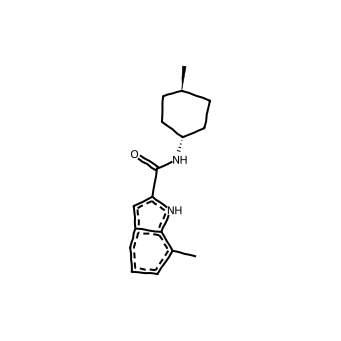 Cc1cccc2cc(C(=O)N[C@H]3CC[C@H](C)CC3)[nH]c12